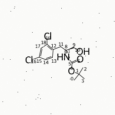 CC(C)(C)OC(=O)N[C@H](CO)Cc1ccc(Cl)cc1Cl